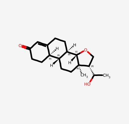 CC(O)[C@H]1CO[C@H]2[C@@H]3CCC4=CC(=O)CC[C@@H]4[C@H]3CC[C@]12C